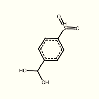 O=[SH](=O)c1ccc(C(O)O)cc1